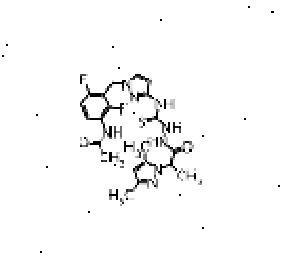 CC(=O)Nc1ccc(F)c(Cn2ccc(NC(=S)NNC(=O)C(C)n3nc(C)cc3C)n2)c1F